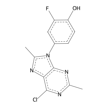 Cc1nc(Cl)c2nc(C)n(-c3ccc(O)c(F)c3)c2n1